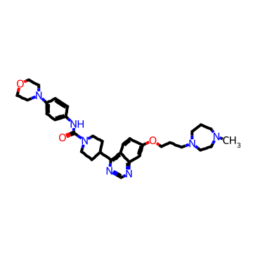 CN1CCCN(CCCOc2ccc3c(C4CCN(C(=O)Nc5ccc(N6CCOCC6)cc5)CC4)ncnc3c2)CC1